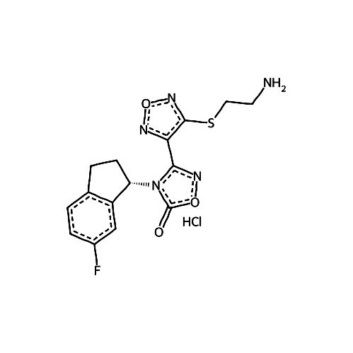 Cl.NCCSc1nonc1-c1noc(=O)n1[C@H]1CCc2ccc(F)cc21